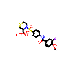 COc1ccc(C(=O)Nc2ccc(S(=O)(=O)N3CCSCC3C(=O)O)cc2)cc1I